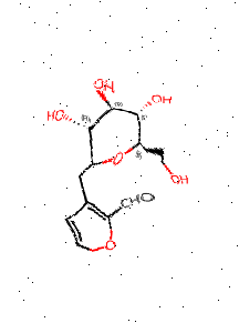 O=Cc1occc1CC1O[C@H](CO)[C@@H](O)[C@H](O)[C@H]1O